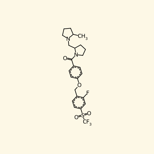 CC1CCCN1CC1CCCN1C(=O)c1ccc(OCc2ccc(S(=O)(=O)C(F)(F)F)cc2F)cc1